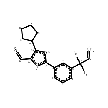 C=CC(F)(F)c1cccc(-c2nc(C=O)c(C3CCCC3)o2)c1